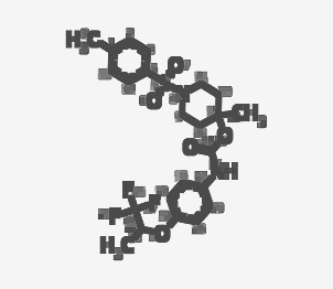 Cc1ccc(S(=O)(=O)N2CCC(C)(OC(=O)Nc3ccc(OC(C)C(F)(F)F)cc3)CC2)cc1